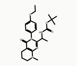 CCOc1ccc(-n2c(C(C)NC(=O)OC(C)(C)C)nc3c(c2=O)CCCN3C)cc1